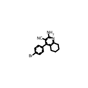 N#Cc1c(N)nc2c(c1-c1ccc(Br)cc1)CCCC2